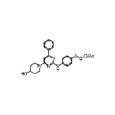 COOSc1ccc(Nc2nc(-c3ccccc3)cc(N3CCC(O)CC3)n2)cc1